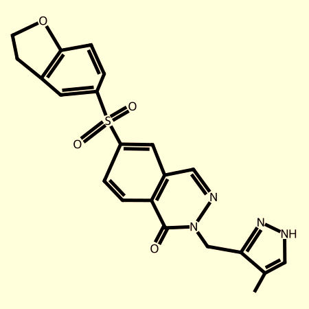 Cc1c[nH]nc1Cn1ncc2cc(S(=O)(=O)c3ccc4c(c3)CCO4)ccc2c1=O